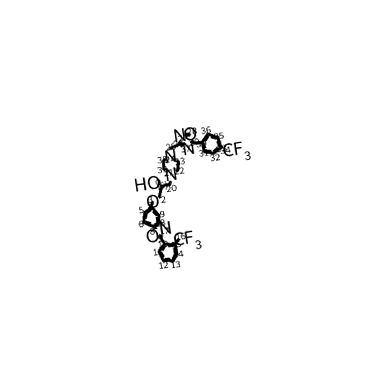 O[C@H](COc1ccc2oc(-c3ccccc3C(F)(F)F)nc2c1)CN1CCN(Cc2noc(-c3ccc(C(F)(F)F)cc3)n2)CC1